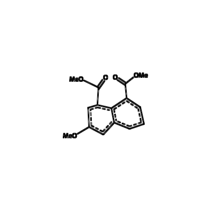 COC(=O)c1cccc2cc(OC)cc(C(=O)OC)c12